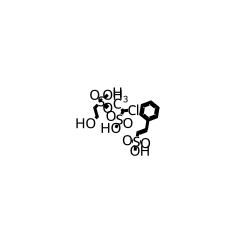 CC(Cl)S(=O)(=O)O.O=S(=O)(O)C=Cc1ccccc1.O=S(=O)(O)CCO